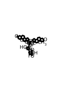 C[C@]12CCC(=O)CC1CCC1C2CC[C@@]2(C)C1CC[C@@H]2OP(=O)(OC[C@H]1O[C@@H](n2cc(I)c(=O)[nH]c2=O)C[C@@H]1O)O[C@H]1CCC2C3CCC4CC(=O)CC[C@]4(C)C3CC[C@@]21C